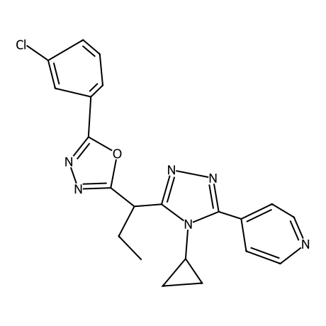 CCC(c1nnc(-c2cccc(Cl)c2)o1)c1nnc(-c2ccncc2)n1C1CC1